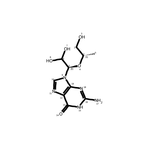 C[C@@H](CO)O[C@H](C(O)O)n1cnc2c(=O)[nH]c(N)nc21